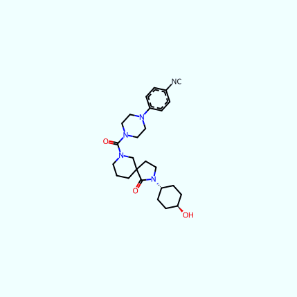 [C-]#[N+]c1ccc(N2CCN(C(=O)N3CCCC4(CCN([C@H]5CC[C@H](O)CC5)C4=O)C3)CC2)cc1